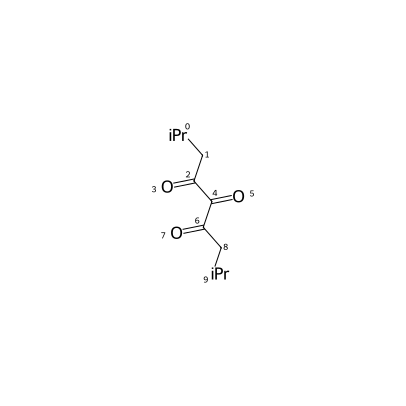 CC(C)CC(=O)C(=O)C(=O)CC(C)C